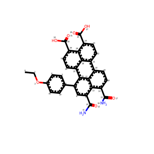 CCOc1ccc(-c2cc(C(N)=O)c3c(C(N)=O)ccc4c5ccc(C(=O)O)c6c(C(=O)O)ccc(c2c34)c65)cc1